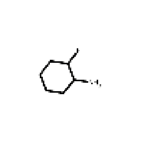 NC1CCCCC1F